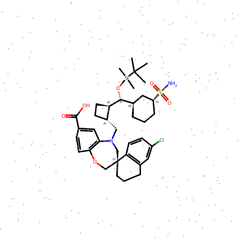 CC(C)(C)[Si](C)(C)O[C@H]([C@@H]1CCC[C@H](S(N)(=O)=O)C1)[C@@H]1CC[C@H]1CN1C[C@@]2(CCCc3cc(Cl)ccc32)COc2ccc(C(=O)O)cc21